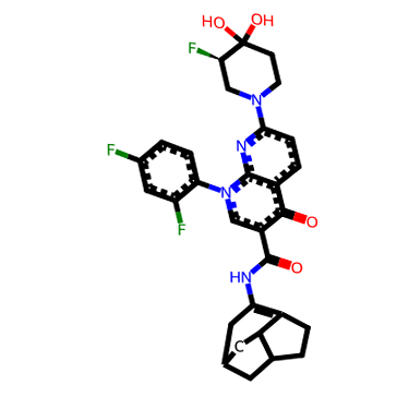 O=C(NC1=C2CCC3CC(C1)CC23)c1cn(-c2ccc(F)cc2F)c2nc(N3CCC(O)(O)[C@H](F)C3)ccc2c1=O